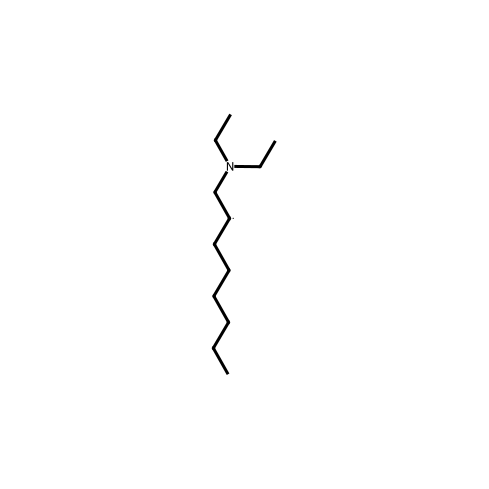 CCCCCC[CH]CN(CC)CC